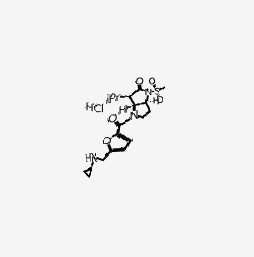 CC(C)[C@H]1C(=O)N(S(C)(=O)=O)[C@H]2CCN(C(=O)c3ccc(CNC4CC4)o3)[C@H]12.Cl